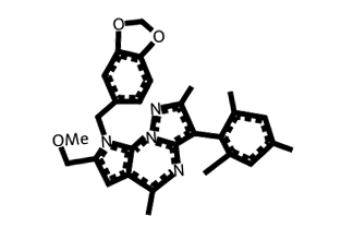 COCc1cc2c(C)nc3c(-c4c(C)cc(C)cc4C)c(C)nn3c2n1Cc1ccc2c(c1)OCO2